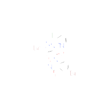 Cc1cc(Br)cc2c(=O)n(C)c(=O)n(C(=O)c3cc(Br)nn3-c3ncccc3Cl)c12